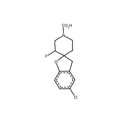 O=C(O)N1CCC2(Cc3cc(Cl)ccc3O2)C(F)C1